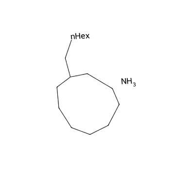 CCCCCCCC1CCCCCCCC1.N